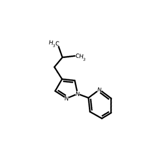 CC(C)Cc1cnn(-c2ccccn2)c1